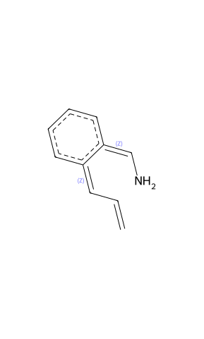 C=C/C=c1/cccc/c1=C/N